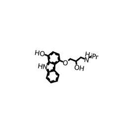 CC(C)NCC(O)COc1ccc(O)c2[nH]c3ccccc3c12